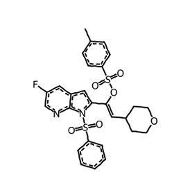 Cc1ccc(S(=O)(=O)OC(=CC2CCOCC2)c2cc3cc(F)cnc3n2S(=O)(=O)c2ccccc2)cc1